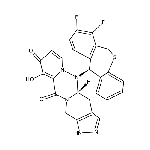 O=C1c2c(O)c(=O)ccn2N([C@@H]2c3ccccc3SCc3c2ccc(F)c3F)[C@@H]2Cc3cn[nH]c3CN12